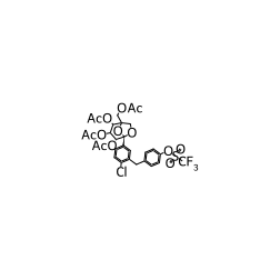 CC(=O)OCC12CO[C@@](c3ccc(Cl)c(Cc4ccc(OS(=O)(=O)C(F)(F)F)cc4)c3)(O1)C(OC(C)=O)C(OC(C)=O)C2OC(C)=O